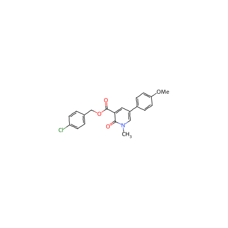 COc1ccc(-c2cc(C(=O)OCc3ccc(Cl)cc3)c(=O)n(C)c2)cc1